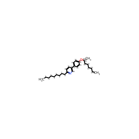 CCCCCCCCCc1ccc(-c2ccc(O[C@H](C)CCCCCC)cc2)cn1